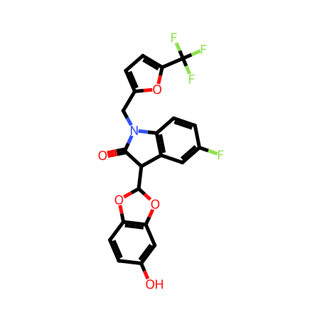 O=C1C(C2Oc3ccc(O)cc3O2)c2cc(F)ccc2N1Cc1ccc(C(F)(F)F)o1